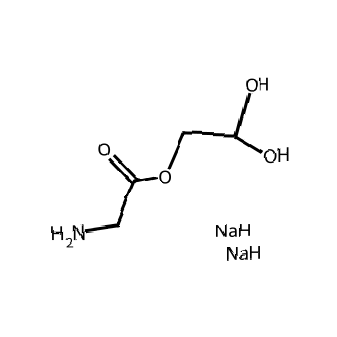 NCC(=O)OCC(O)O.[NaH].[NaH]